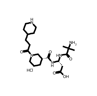 CC(C)(N)C(=O)N[C@H](CC(=O)O)NC(=O)[C@@H]1CCCN(C(=O)CCC2CCNCC2)C1.Cl